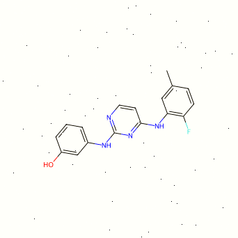 Cc1ccc(F)c(Nc2ccnc(Nc3cccc(O)c3)n2)c1